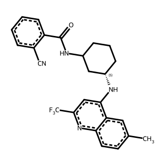 Cc1ccc2nc(C(F)(F)F)cc(N[C@H]3CCCC(NC(=O)c4ccccc4C#N)C3)c2c1